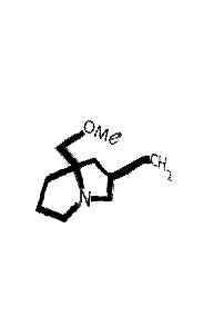 C=C1CN2CCCC2(COC)C1